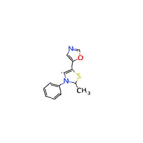 CC1SC(c2cnco2)=[C]N1c1ccccc1